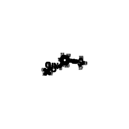 CC(C)(C)C(=O)ONCc1cccc(C#C[Si](C)(C)C)c1